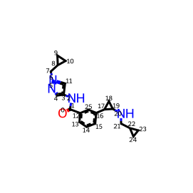 O=C(Nc1cnn(CC2CC2)c1)c1cccc(C2CC2NCC2CC2)c1